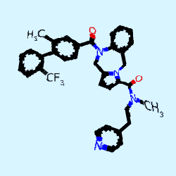 Cc1cc(C(=O)N2Cc3ccc(C(=O)N(C)CCc4ccncc4)n3Cc3ccccc32)ccc1-c1ccccc1C(F)(F)F